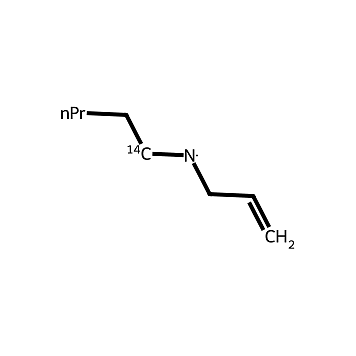 C=CC[N][14CH2]CCCC